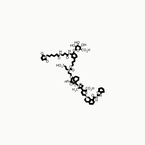 CCCC1(C)CC2(Cn3ncc(-c4ccc(N5CCc6cccc(C(=O)Nc7nc8ccccc8s7)c6C5)nc4C(=O)O)c3C)CCCC(OCCN(CCS(=O)(=O)O)C(=O)OC/C=C/c3ccc(O[C@@H]4O[C@H](C(=O)O)[C@@H](O)[C@H](O)[C@H]4O)c(NC(=O)CCNC(=O)CCCCCN4C(=O)C=CC4=O)c3)(C1)C2